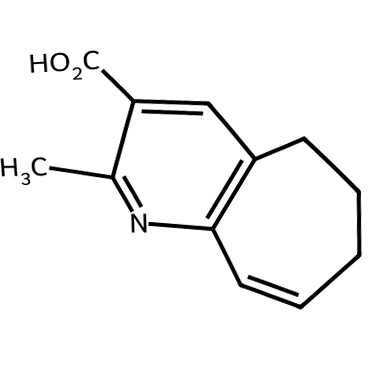 Cc1nc2c(cc1C(=O)O)CCCC=C2